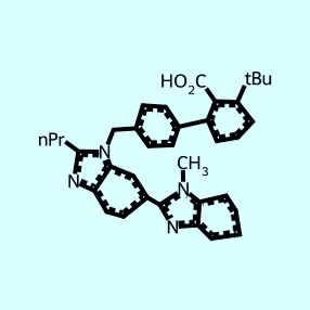 CCCc1nc2ccc(-c3nc4ccccc4n3C)cc2n1Cc1ccc(-c2cccc(C(C)(C)C)c2C(=O)O)cc1